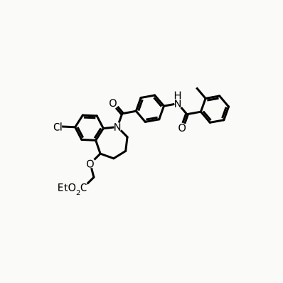 CCOC(=O)COC1CCCN(C(=O)c2ccc(NC(=O)c3ccccc3C)cc2)c2ccc(Cl)cc21